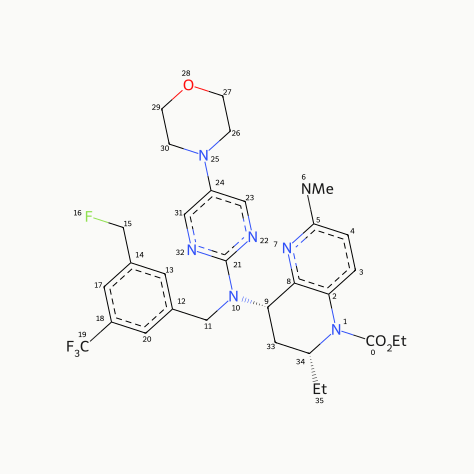 CCOC(=O)N1c2ccc(NC)nc2[C@@H](N(Cc2cc(CF)cc(C(F)(F)F)c2)c2ncc(N3CCOCC3)cn2)C[C@H]1CC